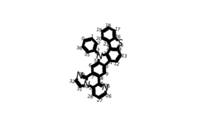 c1ccc(-n2c3cc4c(cc3c3ccc5sc6ccccc6c5c32)c2ncccc2n2ccnc42)cc1